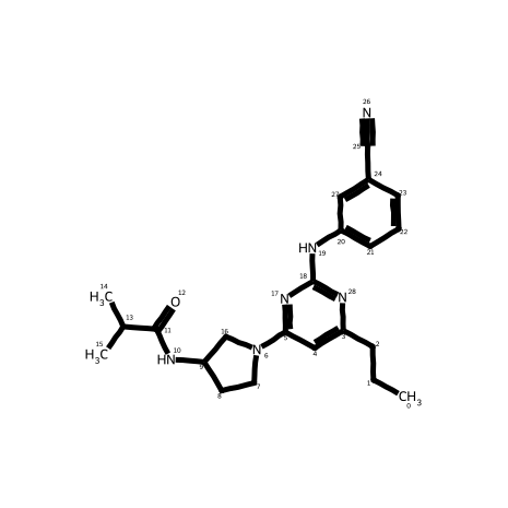 CCCc1cc(N2CCC(NC(=O)C(C)C)C2)nc(Nc2cccc(C#N)c2)n1